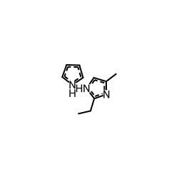 CCc1nc(C)c[nH]1.c1cc[nH]c1